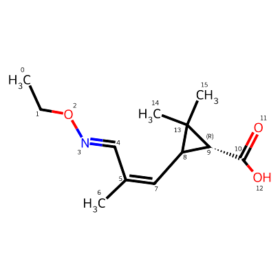 CCON=CC(C)=CC1[C@@H](C(=O)O)C1(C)C